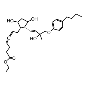 CCCCc1ccc(OCC(C)(O)C=C[C@@H]2[C@@H](CC=C=CCCC(=O)OCC)[C@@H](O)C[C@H]2O)cc1